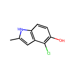 Cc1cc2c(Cl)c(O)ccc2[nH]1